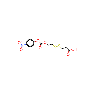 O=C(O)CCSSCCOC(=O)Oc1ccc([N+](=O)[O-])cc1